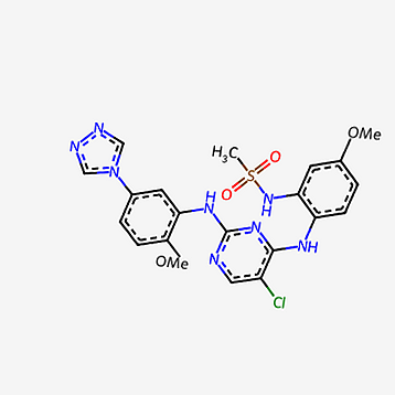 COc1ccc(Nc2nc(Nc3cc(-n4cnnc4)ccc3OC)ncc2Cl)c(NS(C)(=O)=O)c1